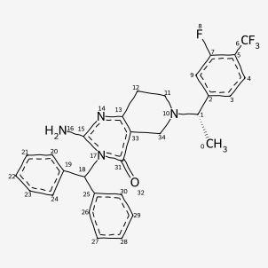 C[C@@H](c1ccc(C(F)(F)F)c(F)c1)N1CCc2nc(N)n(C(c3ccccc3)c3ccccc3)c(=O)c2C1